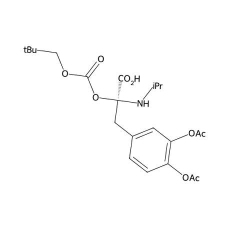 CC(=O)Oc1ccc(C[C@](NC(C)C)(OC(=O)OCC(C)(C)C)C(=O)O)cc1OC(C)=O